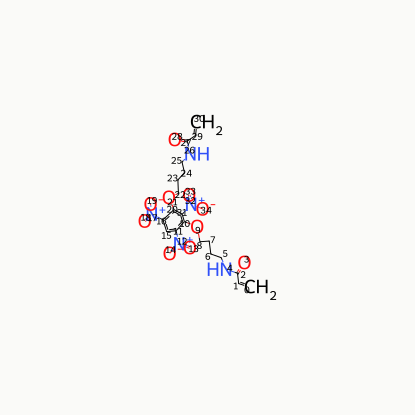 C=CC(=O)NCCCCOc1c([N+](=O)[O-])cc([N+](=O)[O-])c(OCCCCNC(=O)C=C)c1[N+](=O)[O-]